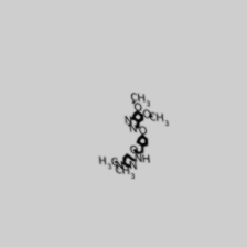 CCOc1cc2ncnc(Oc3ccc(CC(=O)Nc4ccc(N(C)C)cn4)cc3)c2cc1OC